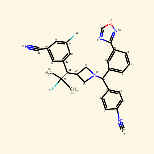 [C-]#[N+]c1ccc(C(c2cccc(-c3ncon3)c2)N2CC([C@@H](c3cc(F)cc(C#N)c3)C(C)(C)F)C2)cc1